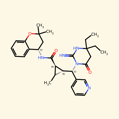 CCC1(CC)CC(=O)N([C@H](c2cccnc2)[C@@H]2C(C)[C@H]2C(=O)N[C@H]2CC(C)(C)Oc3ccccc32)C(=N)N1